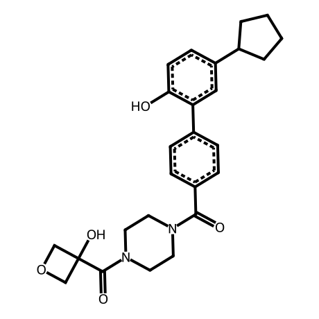 O=C(c1ccc(-c2cc(C3CCCC3)ccc2O)cc1)N1CCN(C(=O)C2(O)COC2)CC1